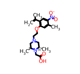 C=C(C)c1cc([N+](=O)[O-])c(C)cc1OCCN1C[C@@H](C)N(CC(=O)O)[C@@H](C)C1